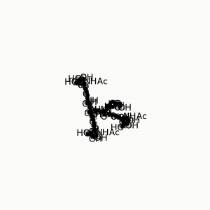 CC(=O)NC1C(OCCOCCNC(=O)CCC(NC(=O)CCC(NC(=O)CC2CCC(OP(C)(=O)O)CC2)C(=O)NCCOCCOC2OC(CO)C(O)C(O)C2NC(C)=O)C(=O)NCCOCCOC2OC(CO)C(O)C(O)C2NC(C)=O)OC(CO)C(O)C1O